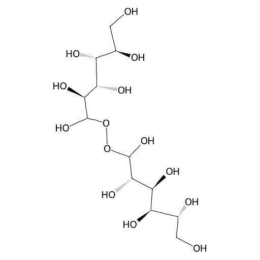 OC[C@@H](O)[C@@H](O)[C@H](O)[C@H](O)C(O)OOC(O)[C@@H](O)[C@@H](O)[C@H](O)[C@H](O)CO